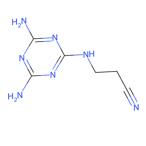 N#CCCNc1nc(N)nc(N)n1